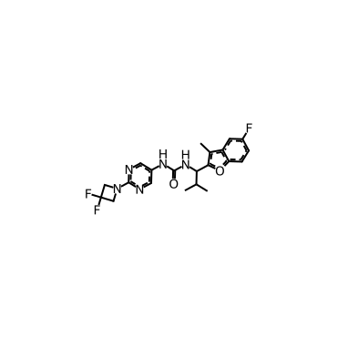 Cc1c(C(NC(=O)Nc2cnc(N3CC(F)(F)C3)nc2)C(C)C)oc2ccc(F)cc12